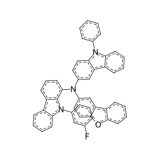 Fc1cccc(-n2c3ccccc3c3cccc(N(c4ccc5oc6ccccc6c5c4)c4ccc5c(c4)c4ccccc4n5-c4ccccc4)c32)c1